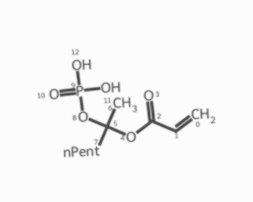 C=CC(=O)OC(C)(CCCCC)OP(=O)(O)O